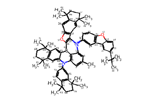 Cc1cc2c3c(c1)N(c1ccc4oc5ccc(C(C)(C)C)cc5c4c1)c1c(oc4cc5c(cc14)C(C)(C)CCC5(C)C)B3c1cc3c(cc1N2c1ccc2c(c1)C(C)(C)CCC2(C)C)C(C)(C)CCC3(C)C